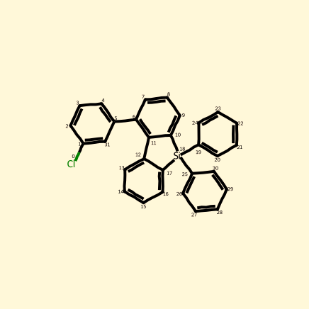 Clc1cccc(-c2cccc3c2-c2ccccc2[Si]3(c2ccccc2)c2ccccc2)c1